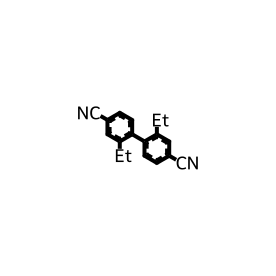 CCc1cc(C#N)ccc1-c1ccc(C#N)cc1CC